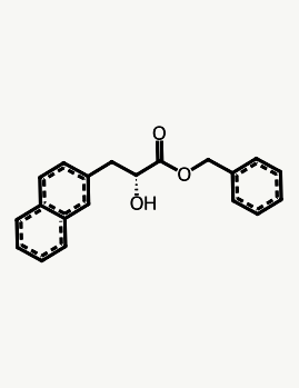 O=C(OCc1ccccc1)[C@H](O)Cc1ccc2ccccc2c1